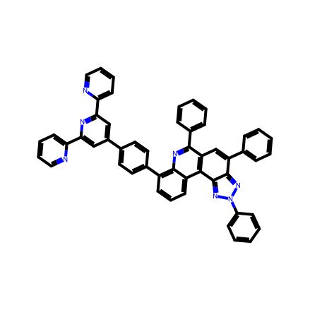 c1ccc(-c2nc3c(-c4ccc(-c5cc(-c6ccccn6)nc(-c6ccccn6)c5)cc4)cccc3c3c2cc(-c2ccccc2)c2nn(-c4ccccc4)nc23)cc1